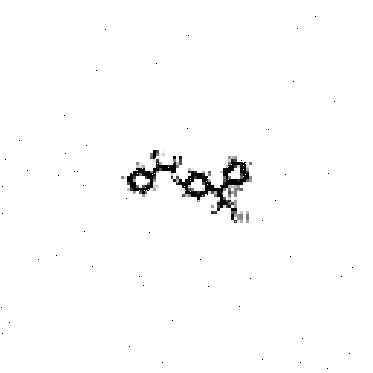 CCC(C(=O)Nc1ccc(C(C(=O)NO)c2ccccc2)cc1)c1ccccc1